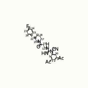 CC(=O)c1cc(C(C)=O)cc(N(C#N)C(=N)NCCC(=O)N2CCC[C@@H](Cc3ccc(F)cc3)C2)c1